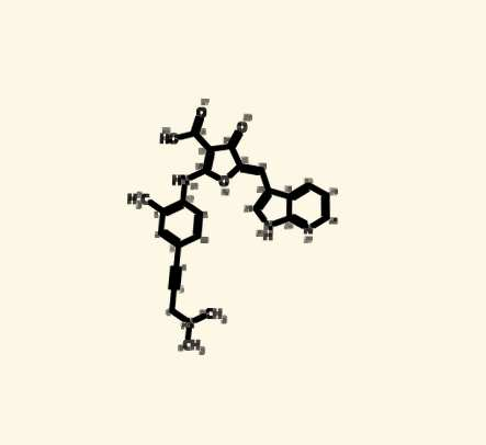 Cc1cc(C#CCN(C)C)ccc1NC1=C(C(=O)O)C(=O)C(=Cc2c[nH]c3ncccc23)O1